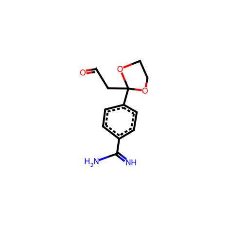 N=C(N)c1ccc(C2(C[C]=O)OCCO2)cc1